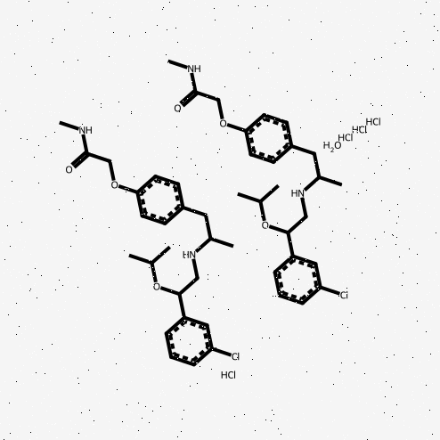 CNC(=O)COc1ccc(CC(C)NCC(OC(C)C)c2cccc(Cl)c2)cc1.CNC(=O)COc1ccc(CC(C)NCC(OC(C)C)c2cccc(Cl)c2)cc1.Cl.Cl.Cl.Cl.O